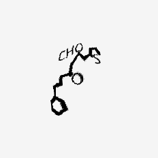 O=CC(CC(=O)CCCc1ccccc1)Cc1cccs1